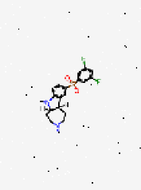 CN1CC[C@H]2c3cc(S(=O)(=O)c4cc(F)cc(F)c4)ccc3N(C)[C@H]2CC1